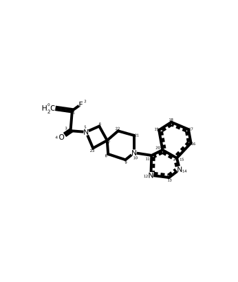 C=C(F)C(=O)N1CC2(CCN(c3ncnc4ccccc34)CC2)C1